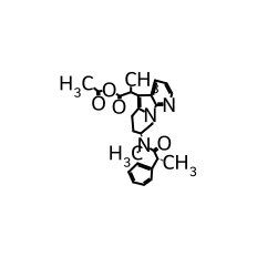 CC(=O)OC(=O)C(C)c1c2n(c3ncccc13)C[C@H](N(C)C(=O)[C@H](C)c1ccccc1)CC2